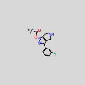 O=C(On1nc(-c2cccc(F)c2)c2c1CNC2)C(F)(F)F